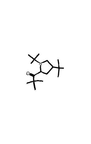 CC(C)(C)C(=O)C1CC(C(C)(C)C)CN1C(C)(C)C